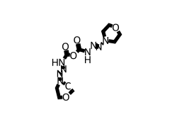 O=C(N/N=N/N1CCOCC1)OC(=O)N/N=N/N1CCOCC1